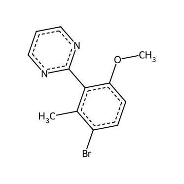 COc1ccc(Br)c(C)c1-c1ncccn1